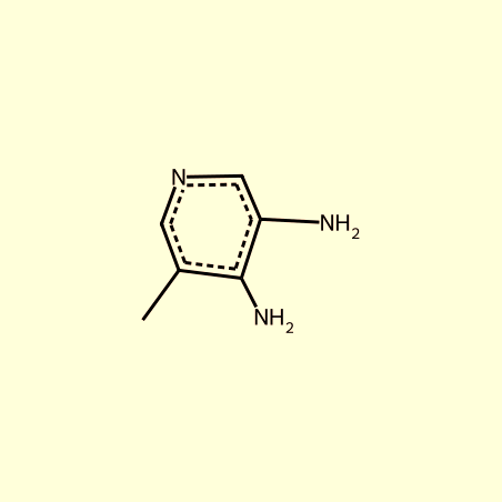 Cc1cncc(N)c1N